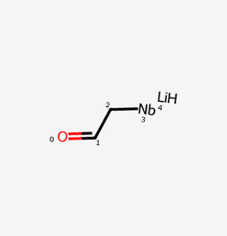 O=C[CH2][Nb].[LiH]